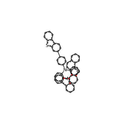 c1ccc(N(c2ccc(-c3ccc4c(c3)sc3ccccc34)cc2)c2ccccc2-n2c3ccccc3c3ccccc32)c(-c2cccc3oc4c5ccccc5ccc4c23)c1